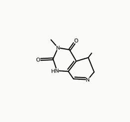 CC1CN=Cc2[nH]c(=O)n(C)c(=O)c21